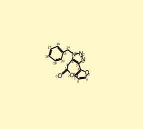 O=C(O)Cc1c(-c2ccco2)nnn1Cc1ccccc1